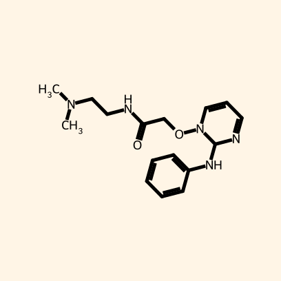 CN(C)CCNC(=O)CON1C=CC=NC1Nc1ccccc1